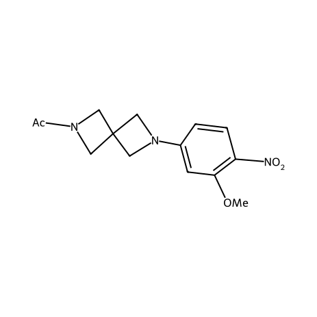 COc1cc(N2CC3(CN(C(C)=O)C3)C2)ccc1[N+](=O)[O-]